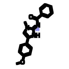 COc1ccc(-c2cn(C)/c(=N\C(=O)c3ccccc3)[nH]2)cc1